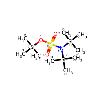 C[Si](C)(C)OS(=O)(=O)N([Si](C)(C)C)[Si](C)(C)C